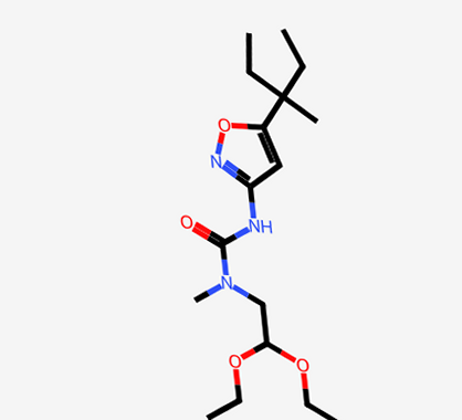 CCOC(CN(C)C(=O)Nc1cc(C(C)(CC)CC)on1)OCC